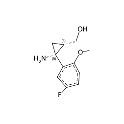 COc1ccc(F)cc1[C@@]1(N)C[C@@H]1CO